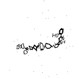 C[C@@H]1c2c([nH]c3nnc(-c4ccccc4O)cc23)CCN1[C@H]1CC[C@H](N2CCN(C3CC4(C3)CN(C(=O)OC(C)(C)C)C4)CC2)CC1